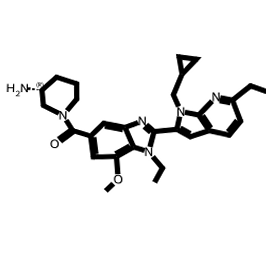 CCc1ccc2cc(-c3nc4cc(C(=O)N5CCC[C@@H](N)C5)cc(OC)c4n3CC)n(CC3CC3)c2n1